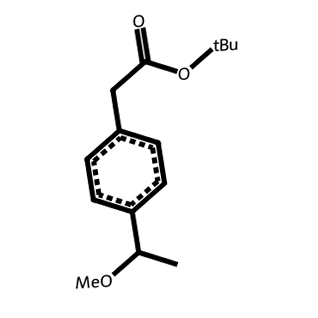 COC(C)c1ccc(CC(=O)OC(C)(C)C)cc1